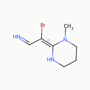 CN1CCCN/C1=C(/Br)C=N